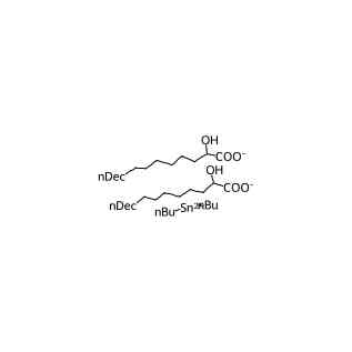 CCCCCCCCCCCCCCCCC(O)C(=O)[O-].CCCCCCCCCCCCCCCCC(O)C(=O)[O-].CCC[CH2][Sn+2][CH2]CCC